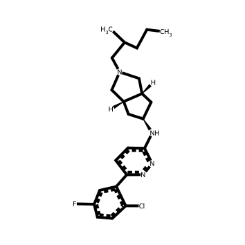 CCCC(C)CN1C[C@H]2C[C@H](Nc3ccc(-c4cc(F)ccc4Cl)nn3)C[C@H]2C1